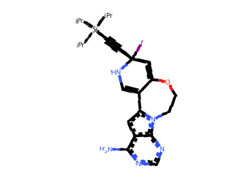 CC(C)[Si](C#CC1(I)C=C2OCCn3c(cc4c(N)ncnc43)C2=CN1)(C(C)C)C(C)C